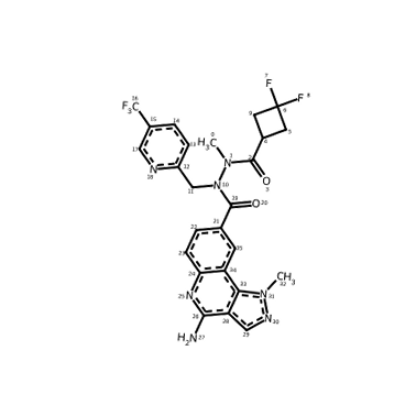 CN(C(=O)C1CC(F)(F)C1)N(Cc1ccc(C(F)(F)F)cn1)C(=O)c1ccc2nc(N)c3cnn(C)c3c2c1